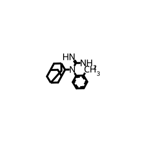 Cc1ccccc1N(C(=N)N)C1C2CC3CC(C2)CC1C3